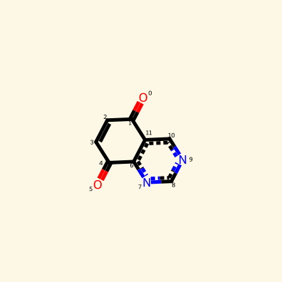 O=C1C=CC(=O)c2ncncc21